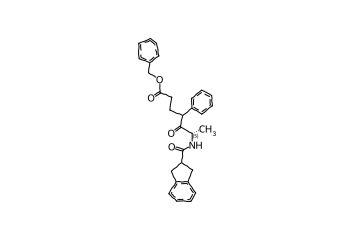 C[C@H](NC(=O)C1Cc2ccccc2C1)C(=O)C(CCC(=O)OCc1ccccc1)c1ccccc1